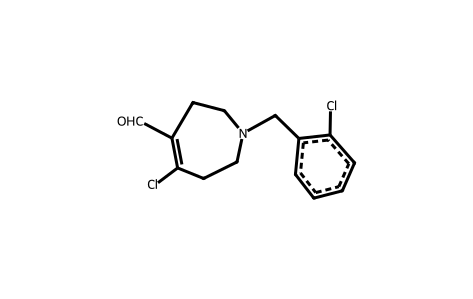 O=CC1=C(Cl)CCN(Cc2ccccc2Cl)CC1